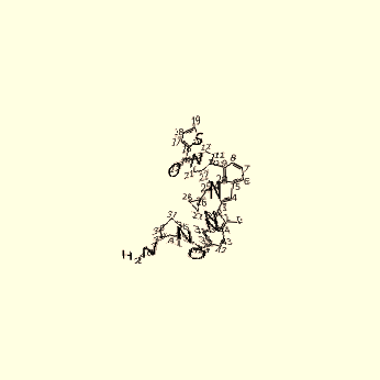 Cc1c(-c2cc3cccc(C4CCN(C(=O)c5cccs5)CC4)c3n2CC2CC2)nn2cc(C(=O)N3CCC[C@@H](N)C3)ccc12